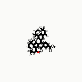 COC(=O)c1ccc(C2=c3cc4c5c(c3Oc3c2cc2c6c3C(C)(C)CCN6C(C)(C)CC2C)C(C)(C)CC[N+]=5C(C)(C)CC4C)c(C(=O)OC)c1